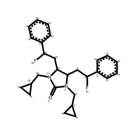 O=C1N(CC2CC2)C(CC(F)c2ccccc2)C(CC(F)c2ccccc2)N1CC1CC1